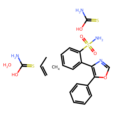 C.C=CC.NC(O)=S.NC(O)=S.NS(=O)(=O)c1ccccc1-c1ncoc1-c1ccccc1.O